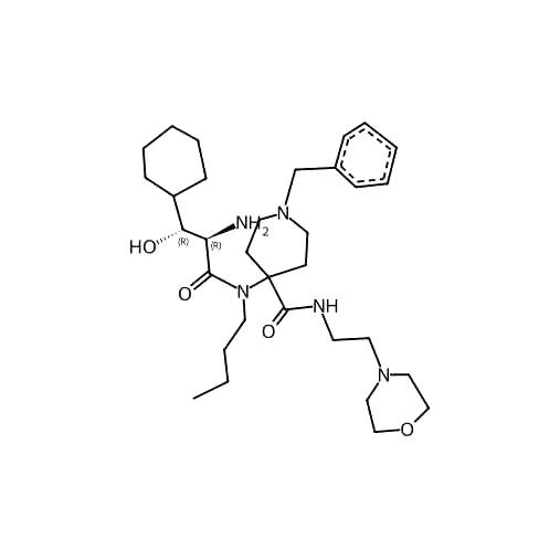 CCCCN(C(=O)[C@H](N)[C@H](O)C1CCCCC1)C1(C(=O)NCCN2CCOCC2)CCN(Cc2ccccc2)CC1